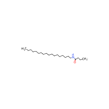 [CH2]CCC(=O)NCCCCCCCCCCCCCCCCCC